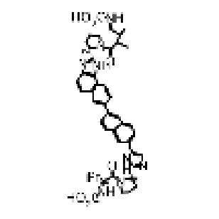 CC(CNC(=O)O)C(C)C(=O)N1CCC[C@H]1c1nc2ccc3cc(-c4ccc5cc(-c6cnc([C@@H]7CCCN7C(=O)[C@@H](NC(=O)O)C(C)C)[nH]6)ccc5c4)ccc3c2[nH]1